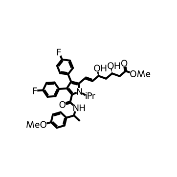 COC(=O)C[C@@H](O)C[C@H](O)C=Cc1c(-c2ccc(F)cc2)c(-c2ccc(F)cc2)c(C(=O)NC(C)c2ccc(OC)cc2)n1C(C)C